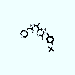 CC(NC(=O)CN1CCOCC1)C(=O)N[C@@H](Cc1ccc(OC(C)(C)C)cc1)C(=O)O